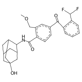 COCc1cc(C(=O)c2ccccc2C(F)F)ccc1C(=O)NC1C2CC3CC1CC(O)(C3)C2